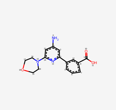 Nc1cc(-c2cccc(C(=O)O)c2)nc(N2CCOCC2)c1